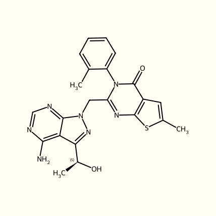 Cc1cc2c(=O)n(-c3ccccc3C)c(Cn3nc([C@H](C)O)c4c(N)ncnc43)nc2s1